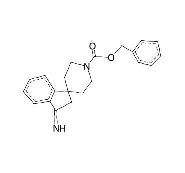 N=C1CC2(CCN(C(=O)OCc3ccccc3)CC2)c2ccccc21